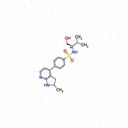 CC1Cc2c(-c3ccc(S(=O)(=O)N[C@@H](CO)C(C)C)cc3)ccnc2N1